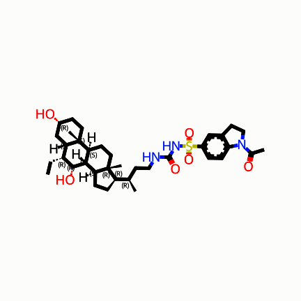 CC[C@H]1[C@@H](O)[C@@H]2[C@H](CC[C@]3(C)[C@@H]([C@H](C)CCNC(=O)NS(=O)(=O)c4ccc5c(c4)CCN5C(C)=O)CC[C@@H]23)[C@@]2(C)CC[C@@H](O)C[C@@H]12